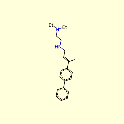 CCN(CC)CCNCC=C(C)c1ccc(-c2ccccc2)cc1